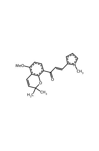 COc1ccc(C(=O)C=Cc2cccn2C)c2c1C=CC(C)(C)O2